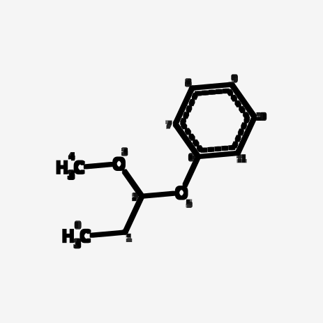 CCC(OC)Oc1ccccc1